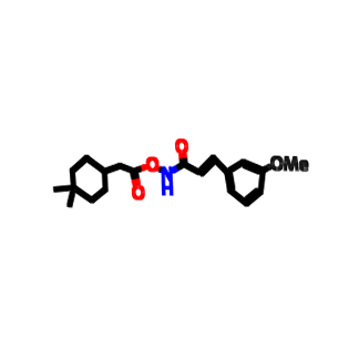 COc1cccc(/C=C/C(=O)NOC(=O)CC2CCC(C)(C)CC2)c1